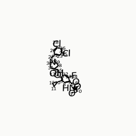 CS(=O)(=O)NC(=O)c1cc(C2CC2)c(OCC2(O)CCN(Cc3cc(Cl)cc(Cl)c3)CC2)cc1F